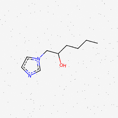 CCCCC(O)Cn1ccnc1